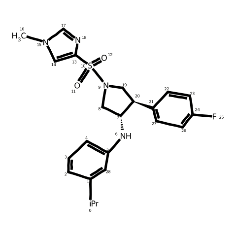 CC(C)c1cccc(N[C@@H]2CN(S(=O)(=O)c3cn(C)cn3)C[C@H]2c2ccc(F)cc2)c1